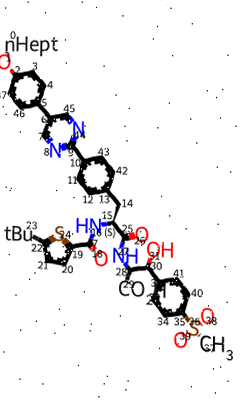 CCCCCCCOc1ccc(-c2cnc(-c3ccc(C[C@H](NC(=O)c4ccc(C(C)(C)C)s4)C(=O)NC(C(=O)O)C(O)c4ccc(S(C)(=O)=O)cc4)cc3)nc2)cc1